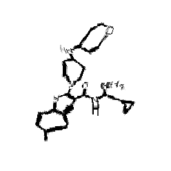 Cc1ccc2nc(N3CCC(NC4CCOCC4)CC3)c(C(=O)NC(N)C3CC3)cc2c1